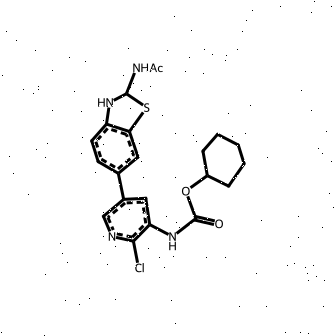 CC(=O)NC1Nc2ccc(-c3cnc(Cl)c(NC(=O)OC4CCCCC4)c3)cc2S1